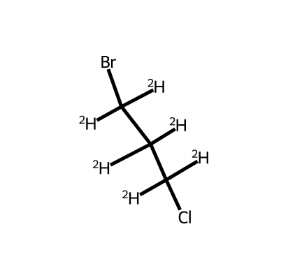 [2H]C([2H])(Cl)C([2H])([2H])C([2H])([2H])Br